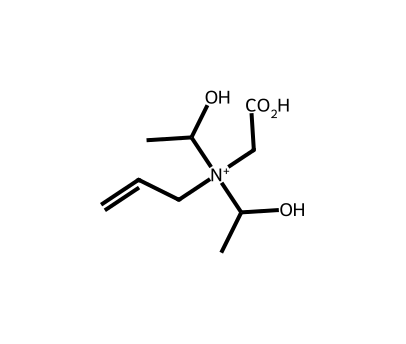 C=CC[N+](CC(=O)O)(C(C)O)C(C)O